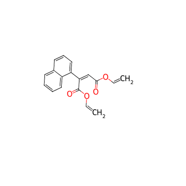 C=COC(=O)/C=C(\C(=O)OC=C)c1cccc2ccccc12